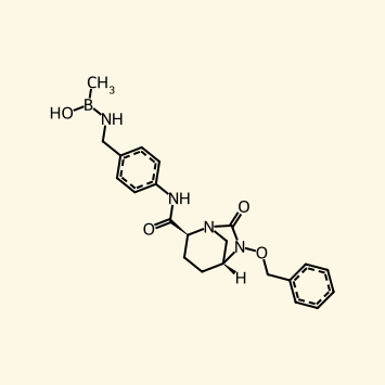 CB(O)NCc1ccc(NC(=O)[C@@H]2CC[C@@H]3CN2C(=O)N3OCc2ccccc2)cc1